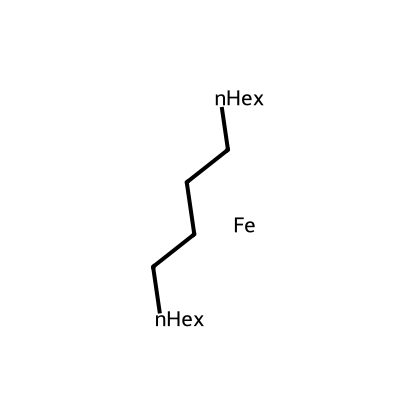 CCCCCCCCCCCCCCCC.[Fe]